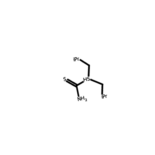 CC(C)C[SH](CC(C)C)C(N)=S